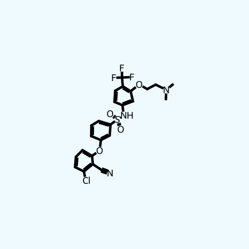 CN(C)CCOc1cc(NS(=O)(=O)c2cccc(Oc3cccc(Cl)c3C#N)c2)ccc1C(F)(F)F